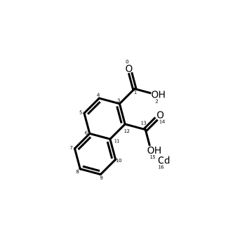 O=C(O)c1ccc2ccccc2c1C(=O)O.[Cd]